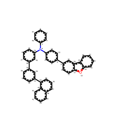 c1ccc(N(c2ccc(-c3ccc4oc5ccccc5c4c3)cc2)c2cccc(-c3cccc(-c4cccc5ccccc45)c3)c2)cc1